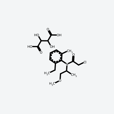 CCc1cccc(C)c1N(C(=O)CCl)C(C)COC.O=C(O)C(O)C(O)C(=O)O